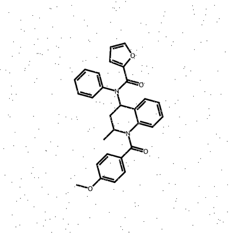 COc1ccc(C(=O)N2c3ccccc3C(N(C(=O)c3ccco3)c3ccccc3)CC2C)cc1